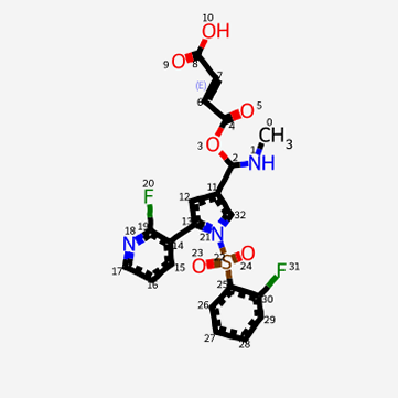 CNC(OC(=O)/C=C/C(=O)O)c1cc(-c2cccnc2F)n(S(=O)(=O)c2ccccc2F)c1